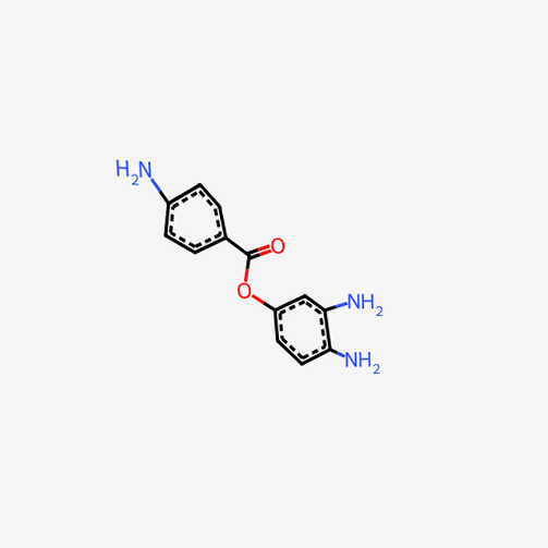 Nc1ccc(C(=O)Oc2ccc(N)c(N)c2)cc1